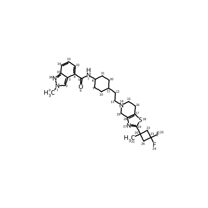 Cn1cc2c(C(=O)NC3CCC(CCN4CCc5sc(C6(C)CC(F)(F)C6)nc5C4)CC3)cccc2n1